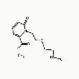 CNCCOCCn1c(C(=O)OC)cccc1=O